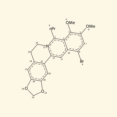 CCCc1c2c(OC)c(OC)cc(Br)c2cc2[n+]1CCc1cc3c(cc1-2)OCO3